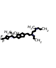 C=C/C=C(/C)C=C/C(C=CC1=CC2=CC(/C=C(/C3C=C(C(F)(F)F)C3)N(C)C)=C=C2C1)=C/C=C